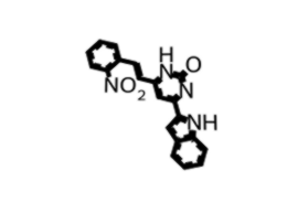 O=c1nc(-c2cc3ccccc3[nH]2)cc(/C=C/c2ccccc2[N+](=O)[O-])[nH]1